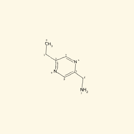 CCc1cnc(CN)cn1